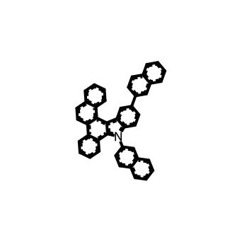 c1ccc2cc(-c3ccc4c(c3)c3c5c6ccccc6ccc5c5ccccc5c3n4-c3ccc4ccccc4c3)ccc2c1